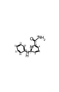 NC(=O)c1cccc(Nc2ccccc2)n1